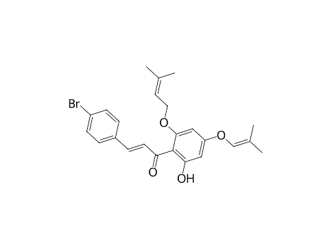 CC(C)=CCOc1cc(OC=C(C)C)cc(O)c1C(=O)/C=C/c1ccc(Br)cc1